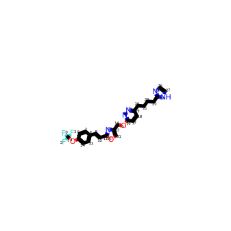 FC(F)(F)Oc1ccc(C=Cc2nc(COc3ccc(CCCCc4ncc[nH]4)nn3)co2)cc1